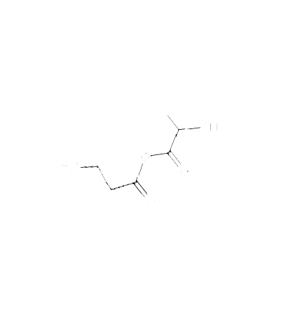 CCCC(=O)OC(=O)C(C)F